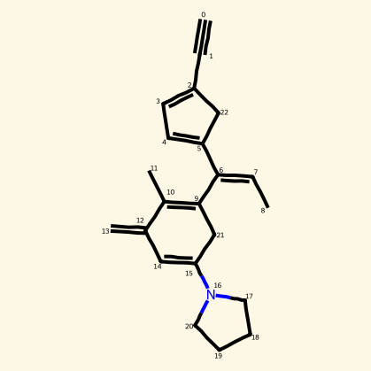 C#CC1=CC=C(/C(=C/C)C2=C(C)C(=C)C=C(N3CCCC3)C2)C1